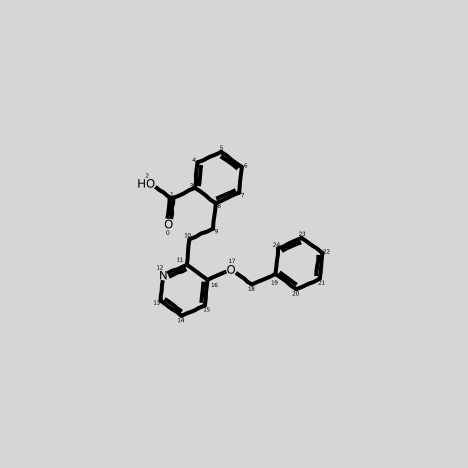 O=C(O)c1ccccc1CCc1ncccc1OCc1ccccc1